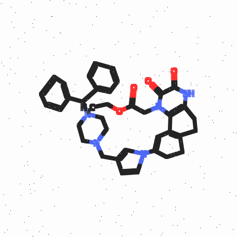 CCOC(=O)Cn1c2c([nH]c(=O)c1=O)CCC1=C2C=C(n2ccc(CN3CCN(C(c4ccccc4)c4ccccc4)CC3)c2)CC1